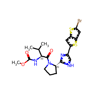 COC(=O)N[C@H](C(=O)N1CCC[C@H]1c1nc(-c2cc3sc(Br)cc3s2)c[nH]1)C(C)C